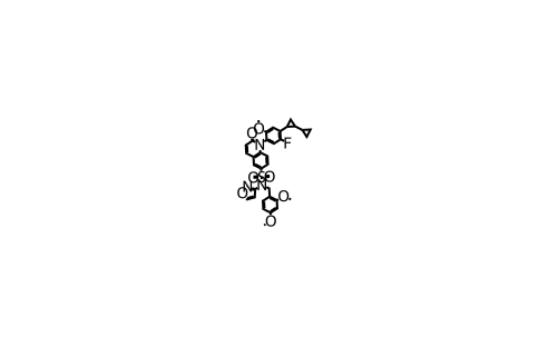 COc1ccc(CN(c2ccon2)S(=O)(=O)c2ccc3c(ccc(=O)n3-c3cc(F)c(C4CC4C4CC4)cc3OC)c2)c(OC)c1